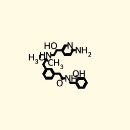 CC(C)(Cc1cccc(CC(=O)NCc2ccccc2O)c1)NC[C@H](O)c1ccc(N)nc1